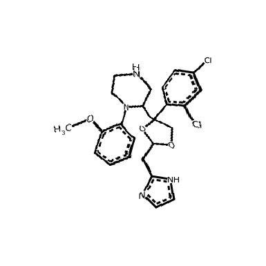 COc1ccccc1N1CCNCC1C1(c2ccc(Cl)cc2Cl)COC(Cc2ncc[nH]2)O1